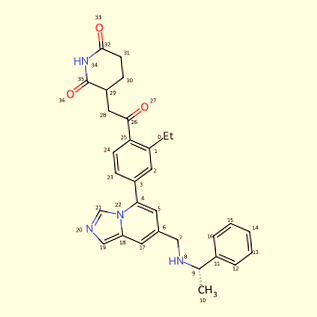 CCc1cc(-c2cc(CN[C@@H](C)c3ccccc3)cc3cncn23)ccc1C(=O)CC1CCC(=O)NC1=O